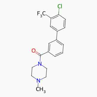 CN1CCN(C(=O)c2cccc(-c3ccc(Cl)c(C(F)(F)F)c3)c2)CC1